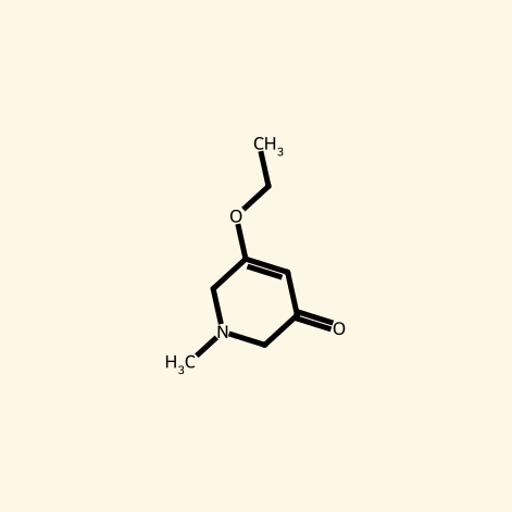 CCOC1=CC(=O)CN(C)C1